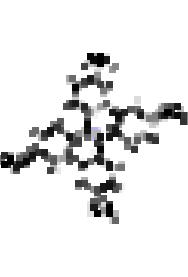 Nc1ccc(/C(=C(/c2ccc(N)cc2)c2ccc(S(=O)(=O)O)cc2)c2ccc(S(=O)(=O)O)cc2)cc1